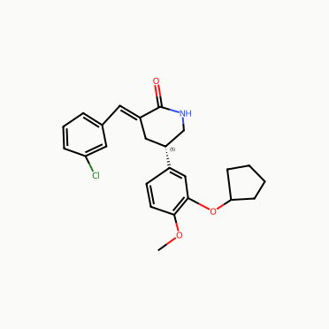 COc1ccc([C@H]2CNC(=O)C(=Cc3cccc(Cl)c3)C2)cc1OC1CCCC1